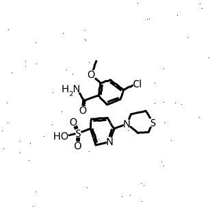 COc1cc(Cl)ccc1C(N)=O.O=S(=O)(O)c1ccc(N2CCSCC2)nc1